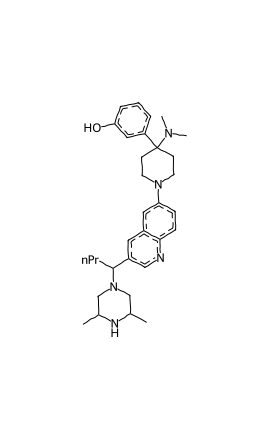 CCCC(c1cnc2ccc(N3CCC(c4cccc(O)c4)(N(C)C)CC3)cc2c1)N1CC(C)NC(C)C1